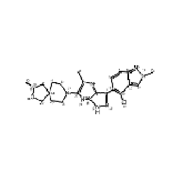 Cc1nc2c(-c3ccc4nn(C)cc4c3Cl)n[nH]c2nc1N1CCC2(CC1)CO[C@@H](C)C2